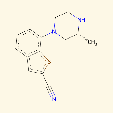 C[C@@H]1CN(c2cccc3cc(C#N)sc23)CCN1